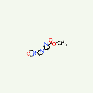 CCOC(=O)c1ccc(N2CCC(N3CCOCC3)C2)cn1